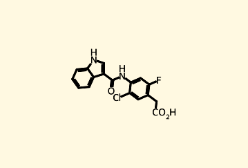 O=C(O)Cc1cc(Cl)c(NC(=O)c2c[nH]c3ccccc23)cc1F